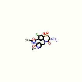 CC(C)Oc1ccc(CN2C(=O)[C@@H](N)CS(=O)(=O)c3cc(F)c(-c4nnc(C(C)(C)C)o4)cc32)cn1